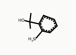 CC(C)(O)c1ccccc1[SiH3]